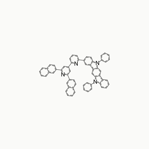 c1ccc(-n2c3ccccc3c3cc4c(cc32)c2cc(-c3cccc(-c5cc(-c6ccc7ccccc7c6)nc(-c6ccc7ccccc7c6)c5)n3)ccc2n4-c2ccccc2)cc1